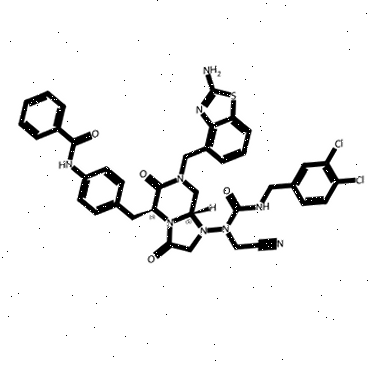 N#CCN(C(=O)NCc1ccc(Cl)c(Cl)c1)N1CC(=O)N2[C@@H](Cc3ccc(NC(=O)c4ccccc4)cc3)C(=O)N(Cc3cccc4sc(N)nc34)C[C@@H]21